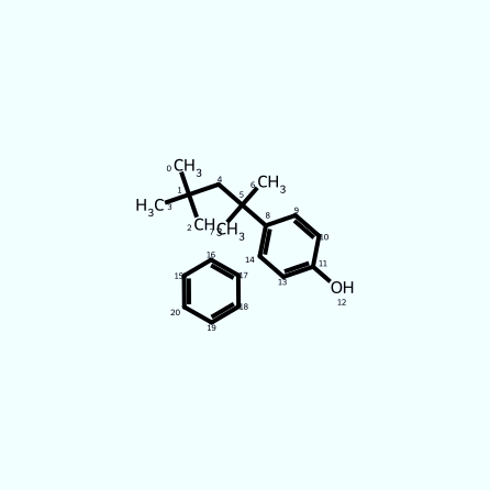 CC(C)(C)CC(C)(C)c1ccc(O)cc1.c1ccccc1